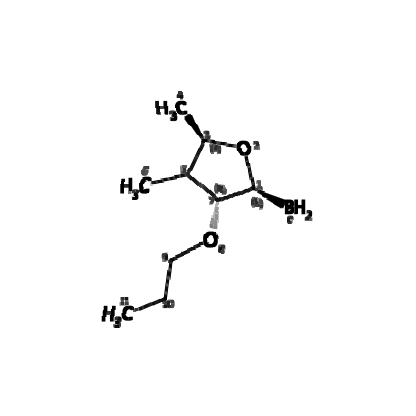 B[C@@H]1O[C@H](C)C(C)[C@H]1OCCC